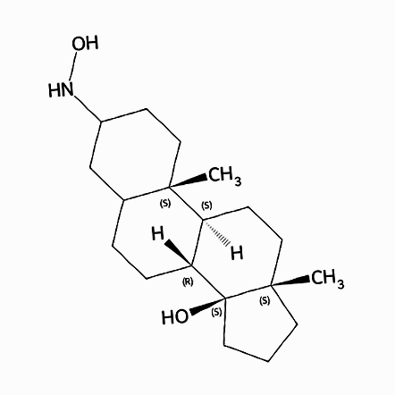 C[C@@]12CCC[C@]1(O)[C@@H]1CCC3CC(NO)CC[C@]3(C)[C@H]1CC2